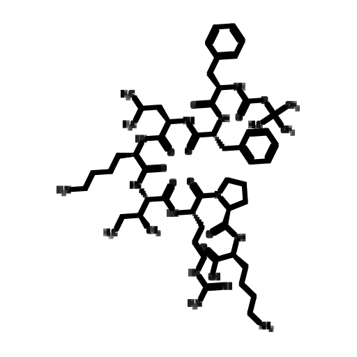 CC[C@H](C)[C@H](NC(=O)[C@@H](CCCCN)NC(=O)[C@@H](CC(C)C)NC(=O)[C@@H](Cc1ccccc1)NC(=O)[C@@H](Cc1ccccc1)NC(=O)OC(C)(C)C)C(=O)N[C@@H](CCCNC(=N)N)C(=O)N1CCC[C@H]1C(=O)N[C@@H](CCCCN)C(=O)O